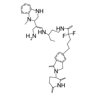 C=C1CCC(N2Cc3cc(CCCC(F)(F)C(=C)NCCC(CC)N/C=C(\CN)C4CNc5ccccc5N4C)ccc3C2=C)C(=C)N1